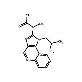 CC(C)Cn1c(N(C)C(=O)O)nc2cnc3ccccc3c21